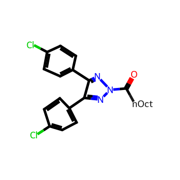 CCCCCCCCC(=O)n1nc(-c2ccc(Cl)cc2)c(-c2ccc(Cl)cc2)n1